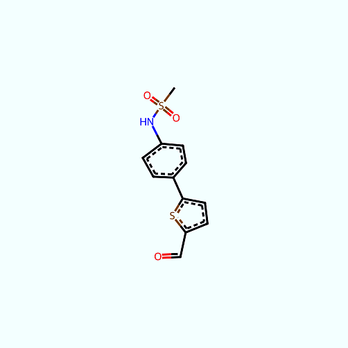 CS(=O)(=O)Nc1ccc(-c2ccc(C=O)s2)cc1